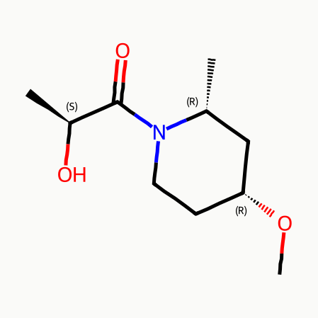 CO[C@@H]1CCN(C(=O)[C@H](C)O)[C@H](C)C1